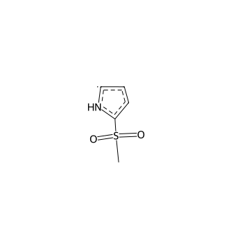 CS(=O)(=O)c1cc[c][nH]1